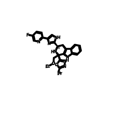 CCOCC1(c2nnc(C(C)C)o2)N[C@@H](c2nc(-c3ccc(F)cn3)c[nH]2)Cc2c1[nH]c1ccccc21